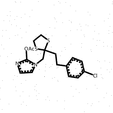 CC(=O)Oc1nccn1CC1(CCc2ccc(Cl)cc2)SCCS1